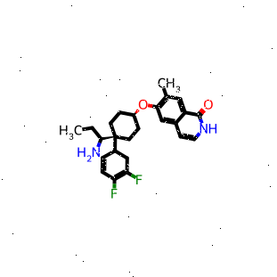 CCC(N)[C@]1(C2C=CC(F)=C(F)C2)CC[C@H](Oc2cc3cc[nH]c(=O)c3cc2C)CC1